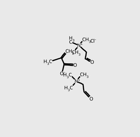 C=C(C)C(=O)[O-].C[N+](C)(C)CC=O.C[N+](C)(C)CC=O.[Cl-]